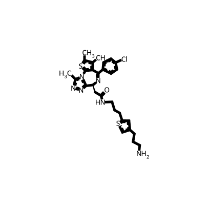 Cc1sc2c(c1C)C(c1ccc(Cl)cc1)=N[C@@H](CC(=O)NCCCc1cc(CCCN)cs1)c1nnc(C)n1-2